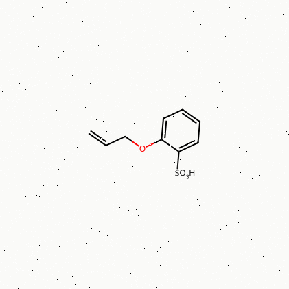 C=CCOc1ccccc1S(=O)(=O)O